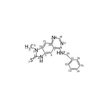 Cn1c(=S)[nH]c2cc3c(NCc4ccccc4)ncnc3cc21